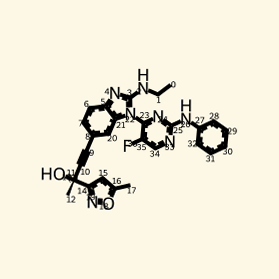 CCNc1nc2ccc(C#C[C@@](C)(O)c3cc(C)on3)cc2n1-c1nc(Nc2ccccc2)ncc1F